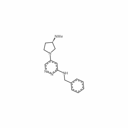 CN[C@@H]1CCN(c2cnnc(NCc3ccccc3)c2)C1